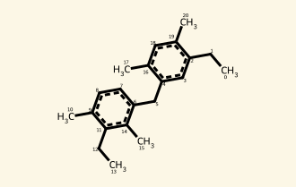 CCc1cc(Cc2ccc(C)c(CC)c2C)c(C)cc1C